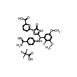 COc1cc(OC)c(F)c(C(Nc2ccc(C(=N)N)cc2)c2nn(-c3cccc(C(=O)O)n3)c(=O)[nH]2)c1.O=C(O)C(F)(F)F